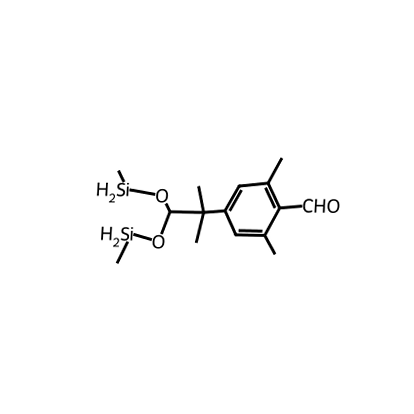 C[SiH2]OC(O[SiH2]C)C(C)(C)c1cc(C)c(C=O)c(C)c1